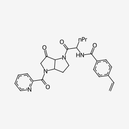 C=Cc1ccc(C(=O)NC(CCC)C(=O)N2CCC3C2C(=O)CN3C(=O)c2ccccn2)cc1